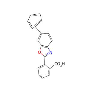 O=C(O)c1ccccc1-c1nc2ccc(-c3ccccc3)cc2o1